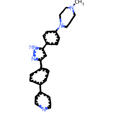 CN1CCN(c2ccc(-c3cc(-c4ccc(-c5ccncc5)cc4)n[nH]3)cc2)CC1